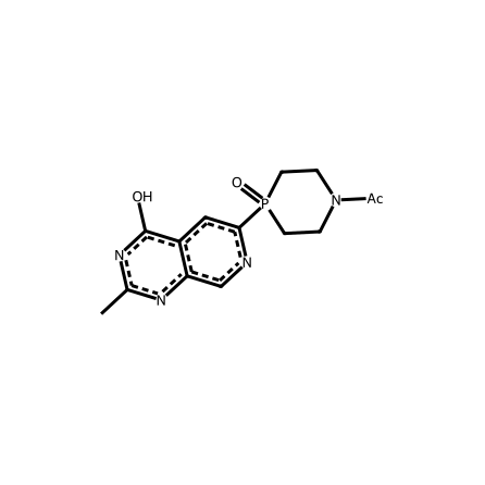 CC(=O)N1CCP(=O)(c2cc3c(O)nc(C)nc3cn2)CC1